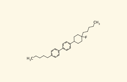 CCCCCc1ccc(-c2ccc(C3CCC(F)(CCCCC)CC3)cc2)cc1